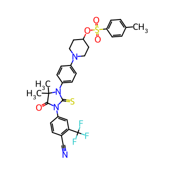 Cc1ccc(S(=O)(=O)OC2CCN(c3ccc(N4C(=S)N(c5ccc(C#N)c(C(F)(F)F)c5)C(=O)C4(C)C)cc3)CC2)cc1